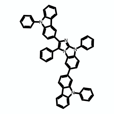 c1ccc(-c2c(-c3ccc4c(c3)c3ccccc3n4-c3ccccc3)nc3n(-c4ccccc4)c4ccc(-c5ccc6c7ccccc7n(-c7ccccc7)c6c5)cc4n23)cc1